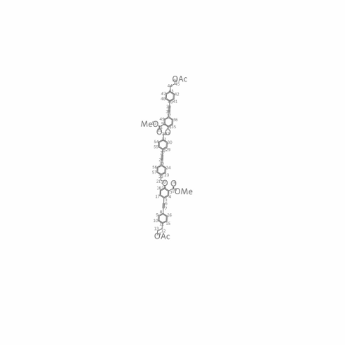 COC(=O)c1cc(C#Cc2ccc(CCOC(C)=O)cc2)ccc1OCc1ccc(C#Cc2ccc(COc3ccc(C#Cc4ccc(CCOC(C)=O)cc4)cc3C(=O)OC)cc2)cc1